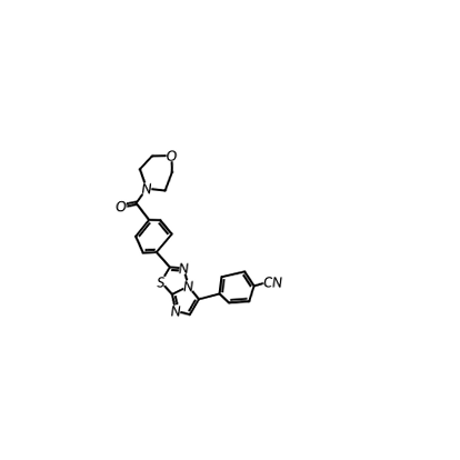 N#Cc1ccc(-c2cnc3sc(-c4ccc(C(=O)N5CCOCC5)cc4)nn23)cc1